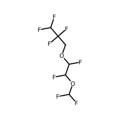 FC(F)OC(F)C(F)OCC(F)(F)C(F)F